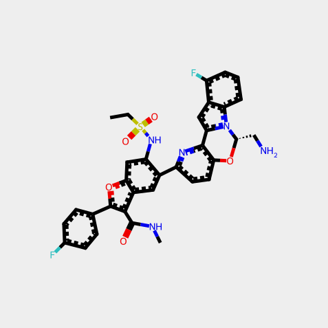 CCS(=O)(=O)Nc1cc2oc(-c3ccc(F)cc3)c(C(=O)NC)c2cc1-c1ccc2c(n1)-c1cc3c(F)cccc3n1[C@H](CN)O2